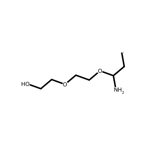 [CH2]CC(N)OCCOCCO